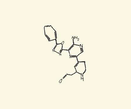 Nc1ncc(C2=CC(CC=O)NCC2)nc1-c1nnc(-c2ccccc2)o1